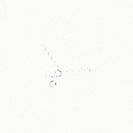 CCCCCCCCCCCCCCCCCCCc1cc[n+](C(CC)c2ccccc2)cc1CCCCCCCCCCCCCCCCCCC